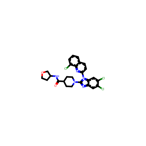 O=C(NC1CCOC1)C1CCN(c2nc3cc(Cl)c(Cl)cc3n2-c2ccc3cccc(Cl)c3n2)CC1